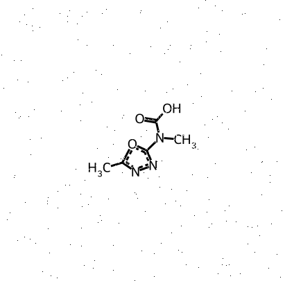 Cc1nnc(N(C)C(=O)O)o1